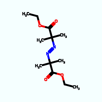 CCOC(=O)C(C)(C)N=NC(C)(C)C(=O)OCC